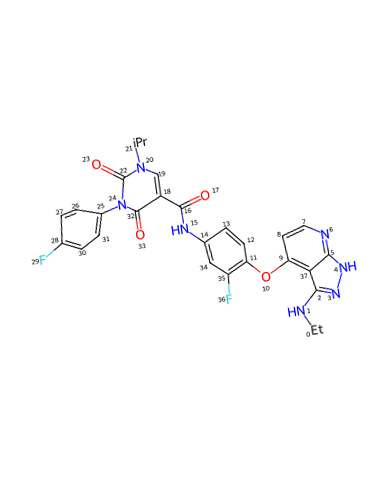 CCNc1n[nH]c2nccc(Oc3ccc(NC(=O)c4cn(C(C)C)c(=O)n(-c5ccc(F)cc5)c4=O)cc3F)c12